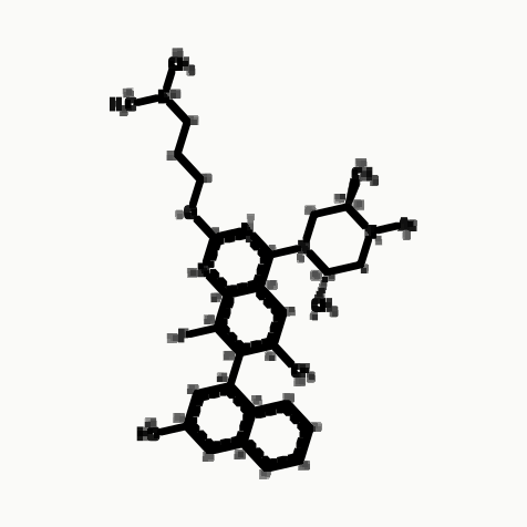 CC(=O)N1C[C@H](C)N(c2nc(OCCCN(C)C)nc3c(F)c(-c4cc(O)cc5ccccc45)c(C(F)(F)F)cc23)C[C@H]1C